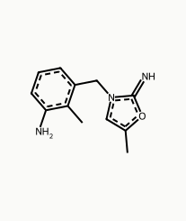 Cc1cn(Cc2cccc(N)c2C)c(=N)o1